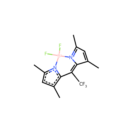 CC1=CC(C)=[N+]2C1=C(C(F)(F)F)c1c(C)cc(C)n1[B-]2(F)F